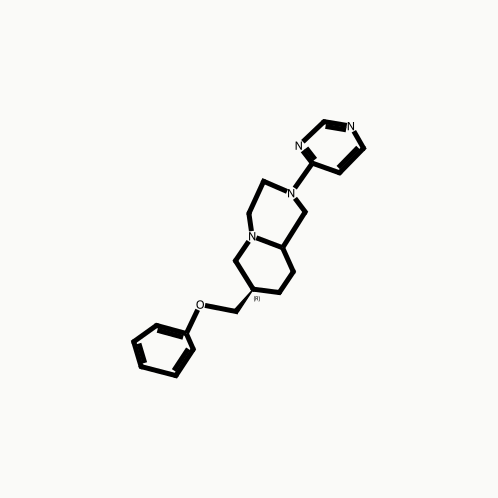 c1ccc(OC[C@@H]2CCC3CN(c4ccncn4)CCN3C2)cc1